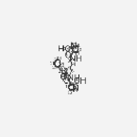 O=C(NCCCC[C@H](NC(=O)c1cccnc1O)C(=O)OCc1ccccc1)c1cccnc1O